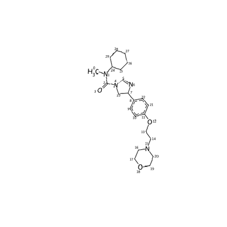 CN(C(=O)N1C=NC(c2ccc(OCCN3CCOCC3)cc2)C1)C1CCCCC1